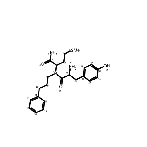 CSCCC(C(N)=O)N(CCCc1ccccc1)C(=O)[C@@H](N)Cc1ccc(O)cc1